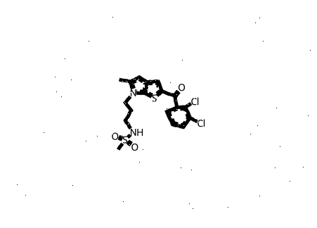 Cc1cc2cc(C(=O)c3cccc(Cl)c3Cl)sc2n1CCCNS(C)(=O)=O